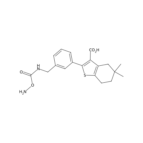 CC1(C)CCc2sc(-c3cccc(CNC(=O)ON)c3)c(C(=O)O)c2C1